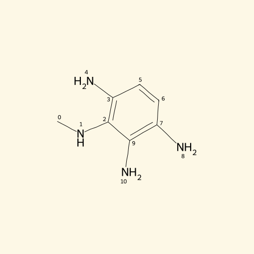 CNc1c(N)ccc(N)c1N